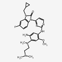 COc1cc(N(C)CCN(C)C)c(N)cc1Nc1nccc(-n2c(=O)n(CC3CC3)c3cc(F)ccc32)n1